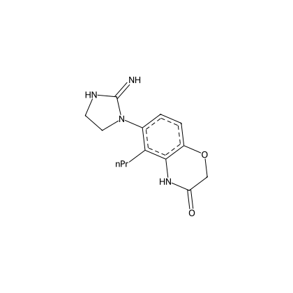 CCCc1c(N2CCNC2=N)ccc2c1NC(=O)CO2